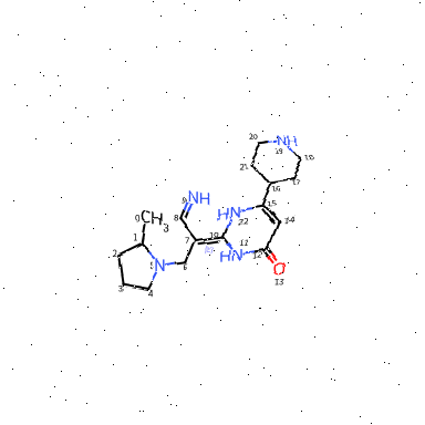 CC1CCCN1C/C(C=N)=C1\NC(=O)C=C(C2CCNCC2)N1